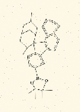 CC1CC2CC(C)C3(c4ccc(B5OC(C)(C)C(C)(C)O5)cc4-c4ccc5ccccc5c43)C(C1)C2